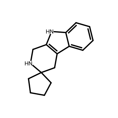 c1ccc2c3c([nH]c2c1)CNC1(CCCC1)C3